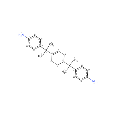 CC(C)(C1=CC=C(C(C)(C)c2ccc(N)cc2)CC1)c1ccc(N)cc1